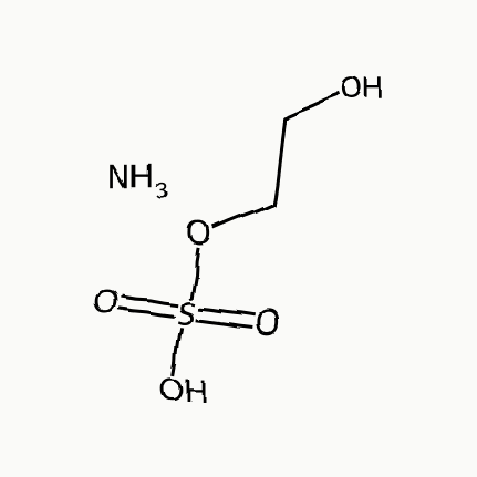 N.O=S(=O)(O)OCCO